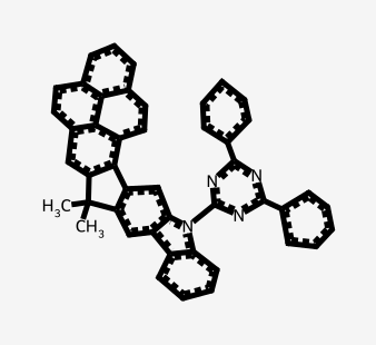 CC1(C)c2cc3c4ccccc4n(-c4nc(-c5ccccc5)nc(-c5ccccc5)n4)c3cc2-c2c1cc1ccc3cccc4ccc2c1c34